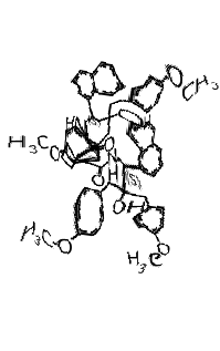 COc1ccc(CC(O)(Cc2ccc(OC)cc2)[C@@H](NC(=O)C2(C(=O)N[C@@H](c3cccc4ccccc34)C(O)(Cc3ccc(OC)cc3)Cc3ccc(OC)cc3)CCC2)c2cccc3ccccc23)cc1